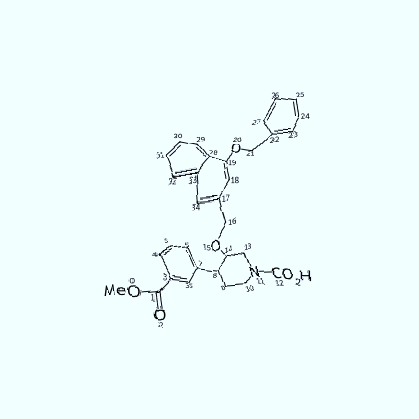 COC(=O)c1cccc(C2CCN(C(=O)O)CC2OCc2cc(OCc3ccccc3)c3ccccc3c2)c1